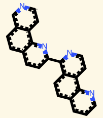 [c]1cc2c(ccc3ccc(-c4nccc5c4ccc4cccnc45)nc32)cn1